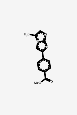 COC(=O)c1ccc(-c2cn3c(C)csc3n2)cc1